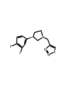 Fc1ccc([C@H]2CCN(Cc3csnn3)C2)cc1F